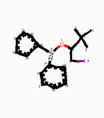 CC(C)(C)C(CI)O[SiH](c1ccccc1)c1ccccc1